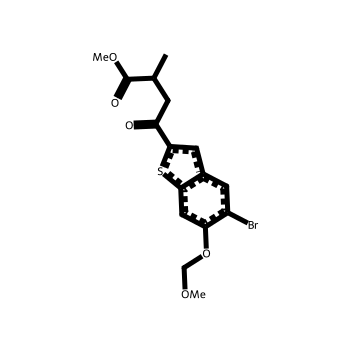 COCOc1cc2sc(C(=O)CC(C)C(=O)OC)cc2cc1Br